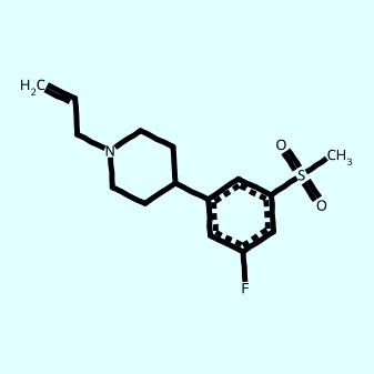 C=CCN1CCC(c2cc(F)cc(S(C)(=O)=O)c2)CC1